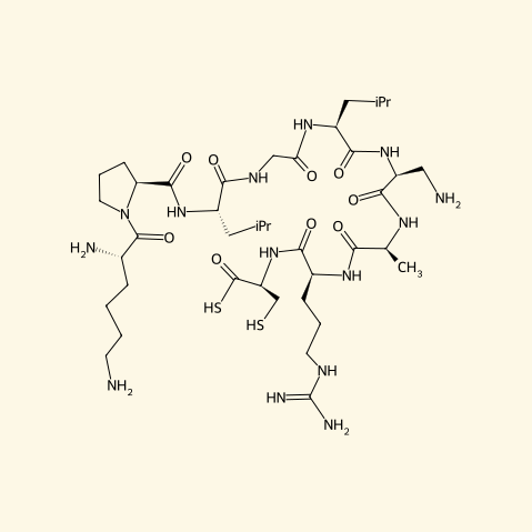 CC(C)C[C@H](NC(=O)CNC(=O)[C@H](CC(C)C)NC(=O)[C@@H]1CCCN1C(=O)[C@@H](N)CCCCN)C(=O)N[C@@H](CN)C(=O)N[C@@H](C)C(=O)N[C@@H](CCCNC(=N)N)C(=O)N[C@@H](CS)C(=O)S